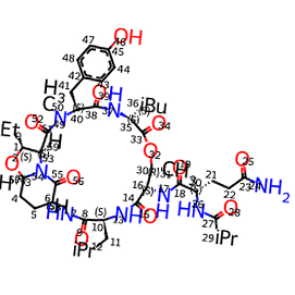 CC[C@@H]1O[C@@H]2CC[C@@H]3NC(=O)[C@H](CC(C)C)NC(=O)[C@@H](NC(=O)[C@H](CCC(N)=O)NC(=O)C(C)C)[C@@H](C)OC(=O)[C@H]([C@@H](C)CC)NC(=O)[C@H](Cc4ccc(O)cc4)N(C)C(=O)[C@H]1N2C3=O